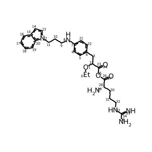 CCOC(Cc1ccc(NCCCn2ccc3ccccc32)cc1)C(=O)OC(=O)[C@@H](N)CCCNC(=N)N